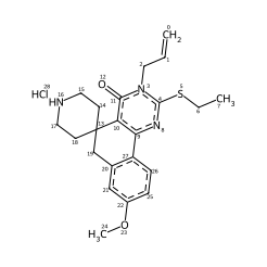 C=CCn1c(SCC)nc2c(c1=O)C1(CCNCC1)Cc1cc(OC)ccc1-2.Cl